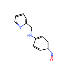 O=Nc1ccc(NCc2ccccn2)cc1